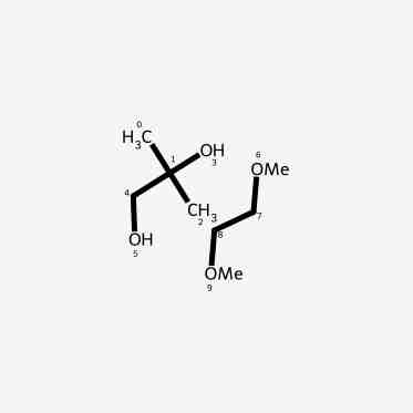 CC(C)(O)CO.COCCOC